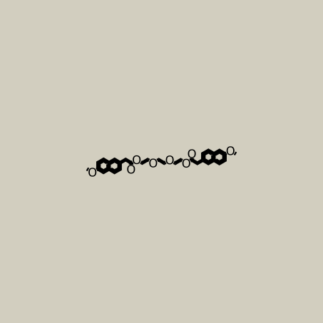 COc1ccc2cc(CC(=O)OCCOCCOCCOC(=O)Cc3ccc4cc(OC)ccc4c3)ccc2c1